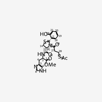 COC(=O)C(Cc1c[nH]cn1)NC(=O)[C@@H]1CS[C@H](c2ccccc2O)N1C(=O)CCSC(C)=O